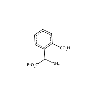 CCOC(=O)C(N)c1ccccc1C(=O)O